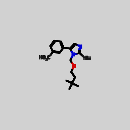 CCCCc1ncc(-c2cccc(C(=O)O)c2)n1COCC[Si](C)(C)C